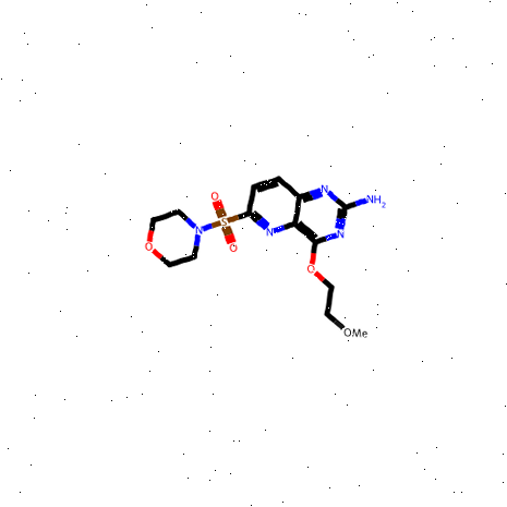 COCCOc1nc(N)nc2ccc(S(=O)(=O)N3CCOCC3)nc12